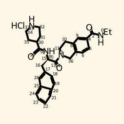 CCNC(=O)c1ccc2c(c1)CCN(C(=O)[C@@H](Cc1ccc3ccccc3c1)NC(=O)C1CCNCC1)C2.Cl